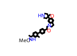 CONC(C)c1ccc(-c2ccc(C(=O)CN3CCc4cc5c(cc43)C3(CCNCC3)CO5)cc2)c(C)c1